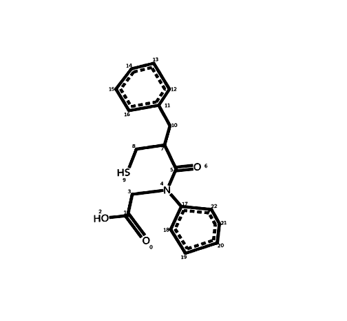 O=C(O)CN(C(=O)C(CS)Cc1ccccc1)c1ccccc1